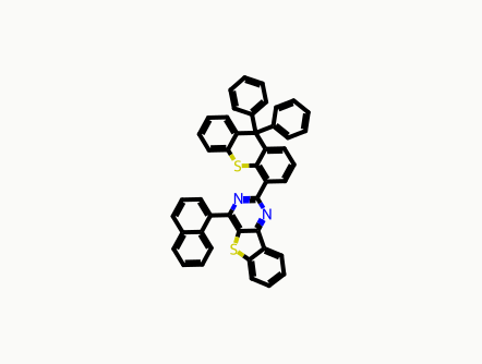 c1ccc(C2(c3ccccc3)c3ccccc3Sc3c(-c4nc(-c5cccc6ccccc56)c5sc6ccccc6c5n4)cccc32)cc1